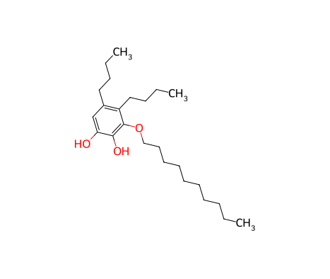 CCCCCCCCCCOc1c(O)c(O)cc(CCCC)c1CCCC